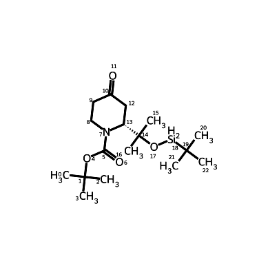 CC(C)(C)OC(=O)N1CCC(=O)C[C@@H]1C(C)(C)O[SiH2]C(C)(C)C